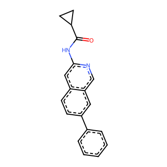 O=C(Nc1cc2ccc(-c3ccccc3)cc2cn1)C1CC1